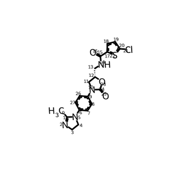 CC1=NCCN1c1ccc(N2C[C@H](CNC(=O)c3ccc(Cl)s3)OC2=O)cc1